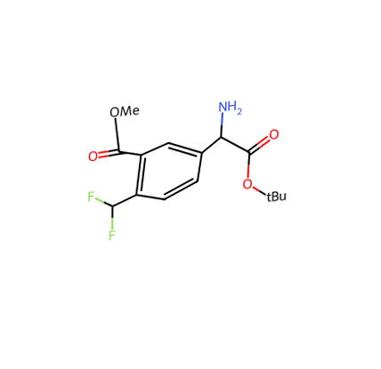 COC(=O)c1cc(C(N)C(=O)OC(C)(C)C)ccc1C(F)F